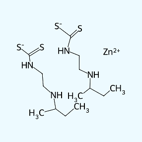 CCC(C)NCCNC(=S)[S-].CCC(C)NCCNC(=S)[S-].[Zn+2]